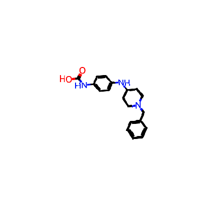 O=C(O)Nc1ccc(NC2CCN(Cc3ccccc3)CC2)cc1